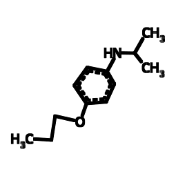 CCCOc1ccc(NC(C)C)cc1